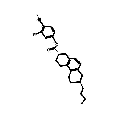 CCCC[C@H]1CCc2c(ccc3c2CC[C@H](C(=O)Oc2ccc(C#N)c(F)c2)C3)C1